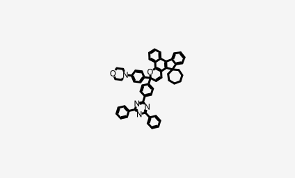 C1=CC(c2ccc(-c3nc(-c4ccccc4)nc(-c4ccccc4)n3)cc2)(c2ccc(N3CCOCC3)cc2)Oc2c1c1c(c3ccccc23)-c2ccccc2C12CCCCCC2